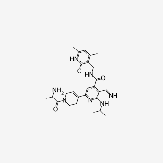 Cc1cc(C)c(CNC(=O)c2cc(C3=CCN(C(=O)C(C)N)CC3)nc(NC(C)C)c2C=N)c(=O)[nH]1